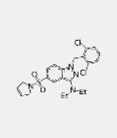 CCN(CC)c1nn(Cc2c(Cl)cccc2Cl)c2ccc(S(=O)(=O)N3CC=CC3)cc12